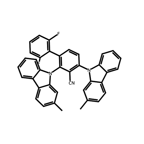 Cc1ccc2c3ccccc3n(-c3ccc(-c4c(F)cccc4F)c(-n4c5ccccc5c5ccc(C)cc54)c3C#N)c2c1